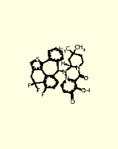 CC1(C)CCN2C(=O)c3c(O)c(=O)ccn3N([C@@H]3c4ccccc4-c4scc5c4-c4c3ccc(F)c4C(F)(F)C5)[C@@H]2C1